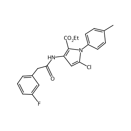 CCOC(=O)c1c(NC(=O)Cc2cccc(F)c2)cc(Cl)n1-c1ccc(C)cc1